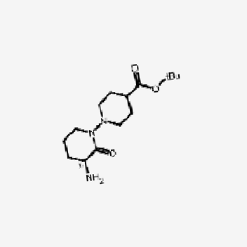 CC(C)(C)OC(=O)C1CCN(N2CCC[C@H](N)C2=O)CC1